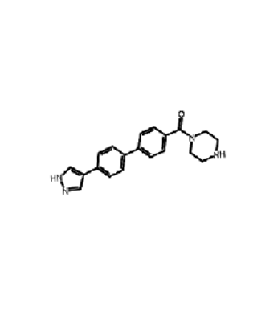 O=C(c1ccc(-c2ccc(-c3cn[nH]c3)cc2)cc1)N1CCNCC1